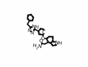 NC(=O)Cc1c(Oc2cccc(-c3nnc(Cc4ccccc4)[nH]3)c2)ccc2[nH]ccc12